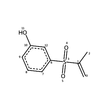 C=C(C)S(=O)(=O)c1cccc(O)c1